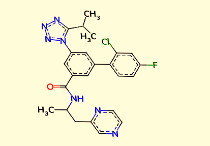 CC(Cc1cnccn1)NC(=O)c1cc(-c2ccc(F)cc2Cl)cc(-n2nnnc2C(C)C)c1